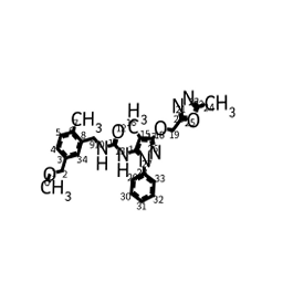 COCc1ccc(C)c(CNC(=O)Nc2c(C)c(OCc3nnc(C)o3)nn2-c2ccccc2)c1